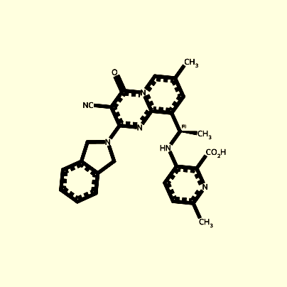 Cc1cc([C@@H](C)Nc2ccc(C)nc2C(=O)O)c2nc(N3Cc4ccccc4C3)c(C#N)c(=O)n2c1